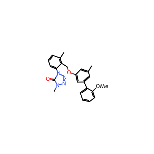 COc1ccccc1-c1cc(C)cc(OCc2c(C)cccc2-n2nnn(C)c2=O)c1